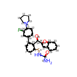 NC(=O)NSc1cccc(-c2ccc(N3CCCCC3)c(F)c2)c1C(=O)c1cc2ccccc2o1